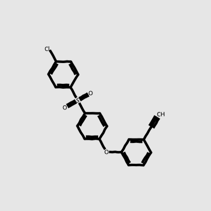 C#Cc1cccc(Oc2ccc(S(=O)(=O)c3ccc(Cl)cc3)cc2)c1